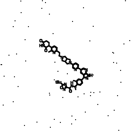 Cc1cc(-c2n[nH]c3ncc(-c4ccc(N5CC6CN(CCc7ccc(C8CCC(=O)NC8=O)c(C)n7)CC6C5)cn4)cc23)ccc1[C@@H](C)NC(=O)c1noc(C(C)(C)C)n1